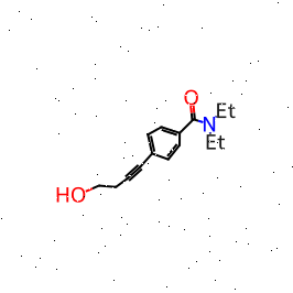 CCN(CC)C(=O)c1ccc(C#CCCO)cc1